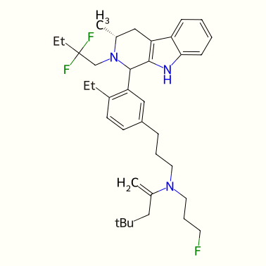 C=C(CC(C)(C)C)N(CCCF)CCCc1ccc(CC)c(C2c3[nH]c4ccccc4c3C[C@@H](C)N2CC(F)(F)CC)c1